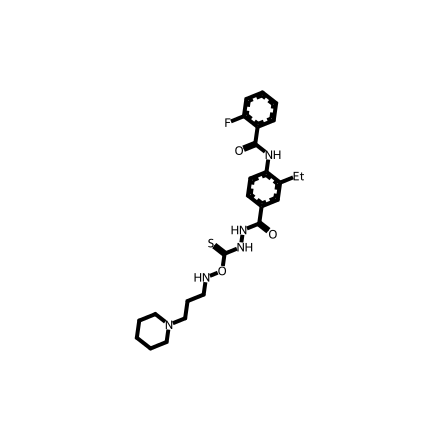 CCc1cc(C(=O)NNC(=S)ONCCCN2CCCCC2)ccc1NC(=O)c1ccccc1F